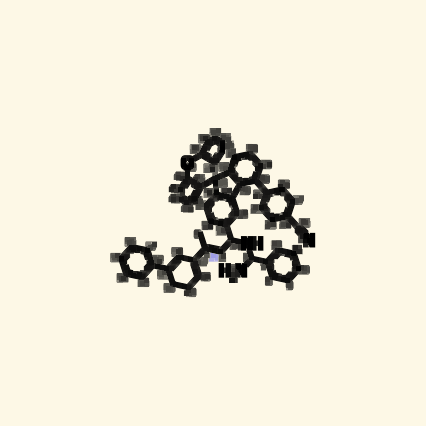 C/C(=C\C(NC(N)c1ccccc1)c1ccc2c(c1)-c1c(-c3ccc(C#N)cc3)cccc1C21c2ccccc2Oc2ccccc21)C1=CCCC(c2ccccc2)=C1